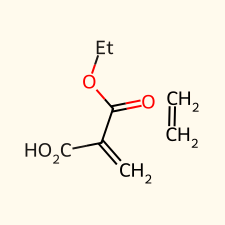 C=C.C=C(C(=O)O)C(=O)OCC